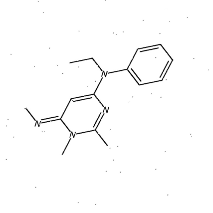 CCN(c1ccccc1)c1cc(=NC)n(C)c(C)n1